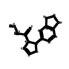 CSNC(=O)N1N=CCC1c1ccc2c(c1)OCO2